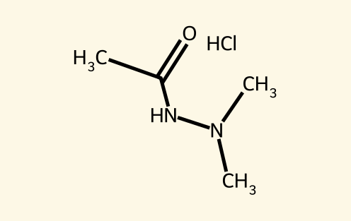 CC(=O)NN(C)C.Cl